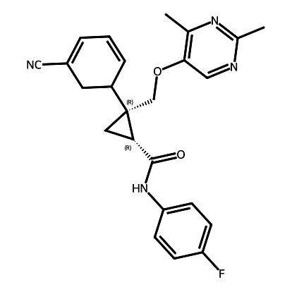 Cc1ncc(OC[C@@]2(C3C=CC=C(C#N)C3)C[C@H]2C(=O)Nc2ccc(F)cc2)c(C)n1